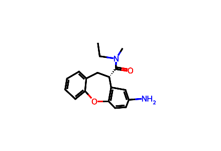 CCN(C)C(=O)[C@H]1Cc2ccccc2Oc2ccc(N)cc21